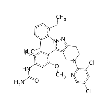 CCc1cccc(CC)c1-n1nc2c(c1-c1cc(F)c(NC(N)=O)cc1OC)CN(c1ncc(Cl)cc1Cl)CC2